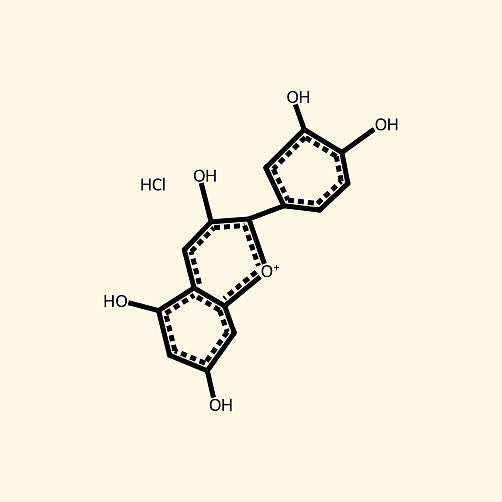 Cl.Oc1cc(O)c2cc(O)c(-c3ccc(O)c(O)c3)[o+]c2c1